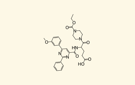 CCOC(=O)N1CCN(C(=O)C(CCC(=O)O)NC(=O)c2cc(-c3cccc(OC)c3)nc(-c3ccccc3)n2)CC1